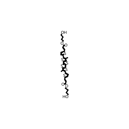 Cc1c(-c2ccc(/C=C/C(=O)OCCCCO)s2)sc2c1sc1c3sc(-c4ccc(/C=C/C(=O)OCCCCO)s4)c(C)c3sc21